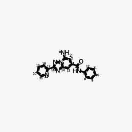 Nc1cc(C(=O)Nc2ccccc2)cc2nc(-c3ccccn3)nn12